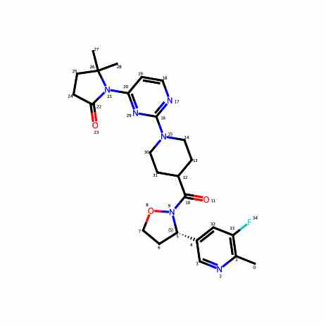 Cc1ncc([C@@H]2CCON2C(=O)C2CCN(c3nccc(N4C(=O)CCC4(C)C)n3)CC2)cc1F